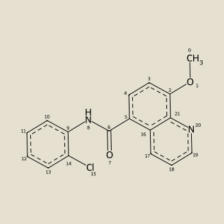 COc1ccc(C(=O)Nc2ccccc2Cl)c2cccnc12